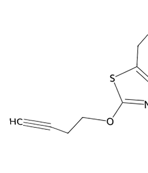 C#CCCOc1ncc(CCl)s1